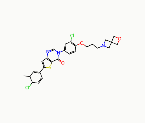 CC1C=C(c2cc3ncn(-c4ccc(OCCCN5CC6(COC6)C5)c(Cl)c4)c(=O)c3s2)C=CC1Cl